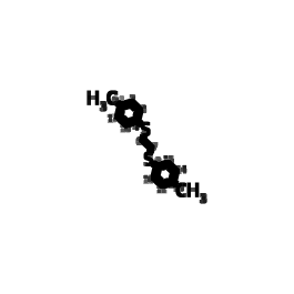 Cc1ccc(SCCSc2ccc(C)cc2)cc1